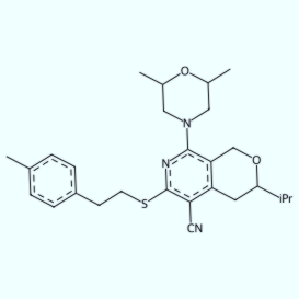 Cc1ccc(CCSc2nc(N3CC(C)OC(C)C3)c3c(c2C#N)CC(C(C)C)OC3)cc1